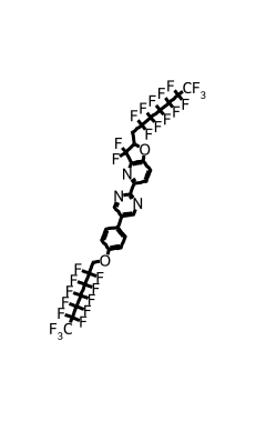 FC1(F)c2nc(-c3ncc(-c4ccc(OCC(F)(F)C(F)(F)C(F)(F)C(F)(F)C(F)(F)C(F)(F)F)cc4)cn3)ccc2OC1CC(F)(F)C(F)(F)C(F)(F)C(F)(F)C(F)(F)C(F)(F)F